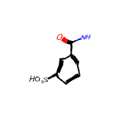 [NH]C(=O)c1cccc(S(=O)(=O)O)c1